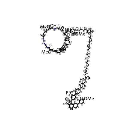 COc1ccc(-c2ccc3ncc4c(c3c2)n(-c2ccc(N3CCN(c5ncc(CNC(=O)CCOCCOCCOCCOCCOCCOCCn6cc(CCCCO[C@@H]7CC[C@@H](C[C@@H](N)[C@@H]8CC(=O)[C@H](C)/C=C(\C)[C@@H](O)[C@@H](OC)C(=N)[C@H](C)C[C@H](C)/C=C/C=C/C=C(\C)[C@@H](OC)C[C@@H]9CC[C@@H](C)[C@@](O)(O9)C(=O)C(=O)N9CCCC[C@H]9C(=O)O8)C[C@H]7OC)nn6)cn5)CC3)c(C(F)(F)F)c2)c(=O)n4C)cn1